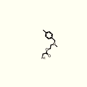 CC(=O)CC(=O)OCCN(C)Cc1ccc(C)cc1